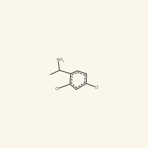 CC(c1ccc(Cl)cc1Cl)[N+](=O)[O-]